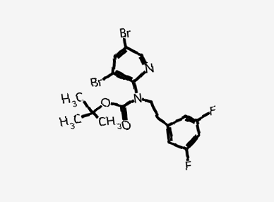 CC(C)(C)OC(=O)N(CCc1cc(F)cc(F)c1)c1ncc(Br)cc1Br